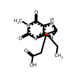 CC[SiH]1c2nc3c([nH]2)c(=O)n(C)c(=O)n3C1CC(=O)O